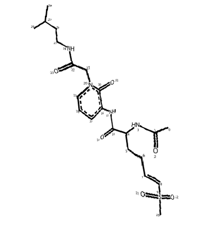 CC(=O)NC(CC/C=C/S(C)(=O)=O)C(=O)Nc1cccn(CC(=O)NCCC(C)C)c1=O